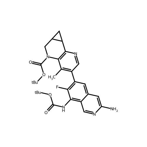 Cc1c(-c2cc3cc(N)ncc3c(NC(=O)OC(C)(C)C)c2F)cnc2c1N(C(=O)OC(C)(C)C)CC1CC21